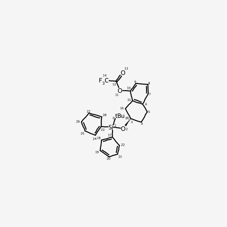 CC(C)(C)[Si](O[C@@H]1CCc2cccc(OC(=O)C(F)(F)F)c2C1)(c1ccccc1)c1ccccc1